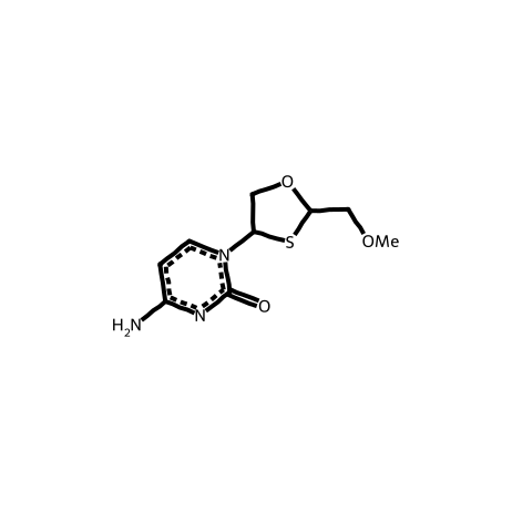 COCC1OCC(n2ccc(N)nc2=O)S1